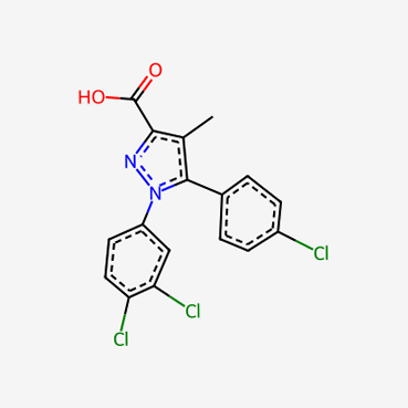 Cc1c(C(=O)O)nn(-c2ccc(Cl)c(Cl)c2)c1-c1ccc(Cl)cc1